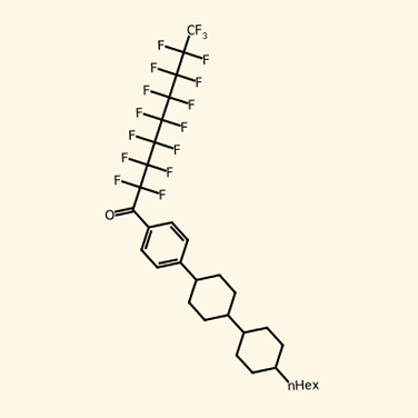 CCCCCCC1CCC(C2CCC(c3ccc(C(=O)C(F)(F)C(F)(F)C(F)(F)C(F)(F)C(F)(F)C(F)(F)C(F)(F)C(F)(F)F)cc3)CC2)CC1